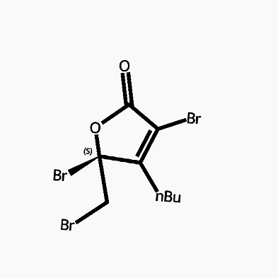 CCCCC1=C(Br)C(=O)O[C@@]1(Br)CBr